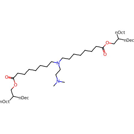 CCCCCCCCCCC(CCCCCCCC)COC(=O)CCCCCCCN(CCCCCCCC(=O)OCC(CCCCCCCC)CCCCCCCCCC)CCN(C)C